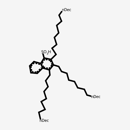 CCCCCCCCCCCCCCCCCCc1c(CCCCCCCCCCCCCCCCCC)c(S(=O)(=O)O)c2ccccc2c1CCCCCCCCCCCCCCCCCC